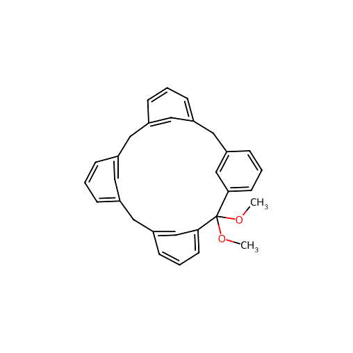 COC1(OC)c2cccc(c2)Cc2cccc(c2)Cc2cccc(c2)Cc2cccc1c2